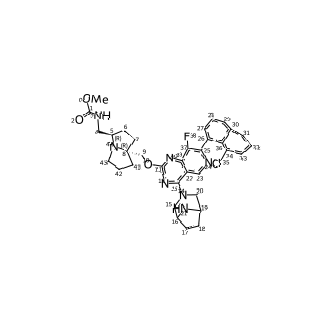 COC(=O)NC[C@H]1CC[C@@]2(COc3nc(N4CC5CCC(C4)N5)c4cnc(-c5cccc6cccc(Cl)c56)c(F)c4n3)CCCN12